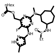 CCCCCCC(=O)OCc1nc(N(C)C2CC(C)CCC(N[S+]([O-])CC)C2)nc(Nc2cc(C)[nH]n2)c1F